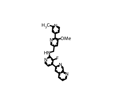 COc1cc(CNc2nccc(-c3cc4cccnc4cn3)c2F)cnc1-c1ccnc(C)c1